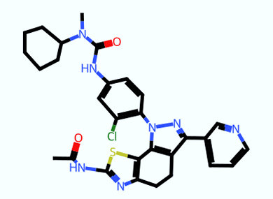 CC(=O)Nc1nc2c(s1)-c1c(c(-c3cccnc3)nn1-c1ccc(NC(=O)N(C)C3CCCCC3)cc1Cl)CC2